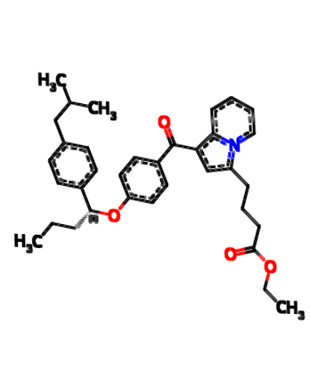 CCC[C@@H](Oc1ccc(C(=O)c2cc(CCCC(=O)OCC)n3ccccc23)cc1)c1ccc(CC(C)C)cc1